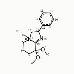 COC1(OC)CCC[N+]2(C)CC(c3ccccc3)N=C12.[I-]